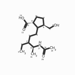 CCC(CCC1[C@H](CO)CC[C@H]1C(=O)O)[C@H](C)NC(C)=O